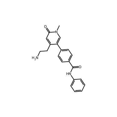 Cn1cc(-c2ccc(C(=O)Nc3ccccc3)cc2)c(CCN)cc1=O